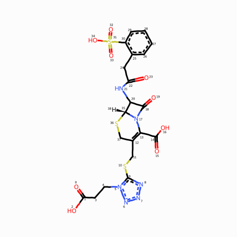 O=C(O)CCn1nnnc1SCC1=C(C(=O)O)N2C(=O)C(NC(=O)Cc3ccccc3S(=O)(=O)O)[C@H]2SC1